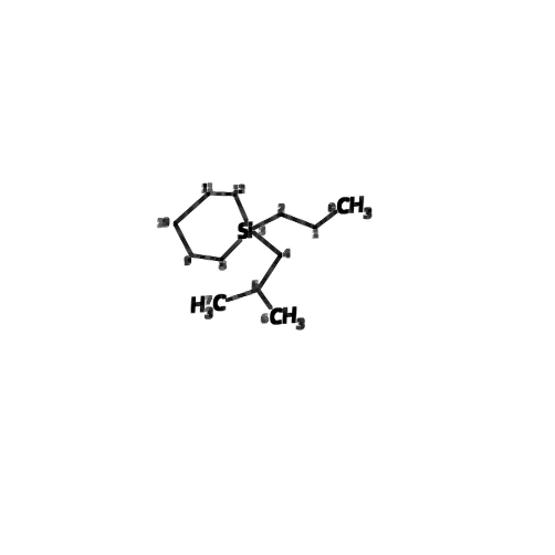 CCC[Si]1(CC(C)C)CCCCC1